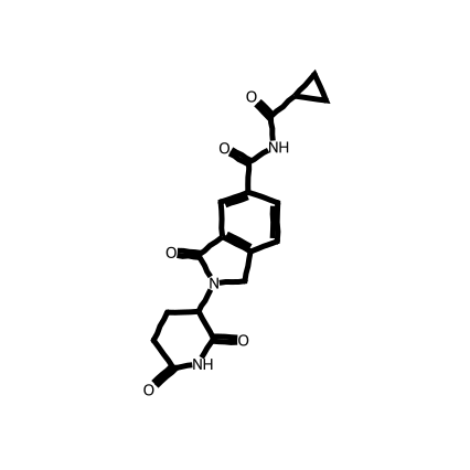 O=C1CCC(N2Cc3ccc(C(=O)NC(=O)C4CC4)cc3C2=O)C(=O)N1